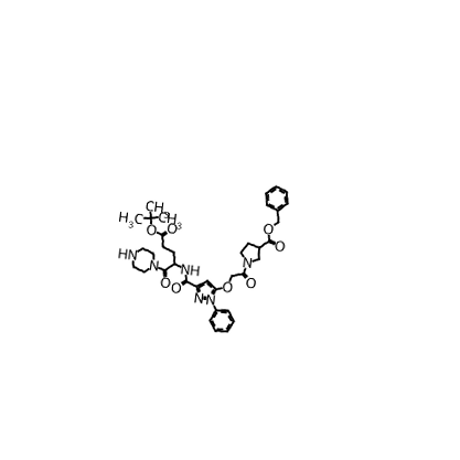 CC(C)(C)OC(=O)CCC(NC(=O)c1cc(OCC(=O)N2CCC(C(=O)OCc3ccccc3)C2)n(-c2ccccc2)n1)C(=O)N1CCNCC1